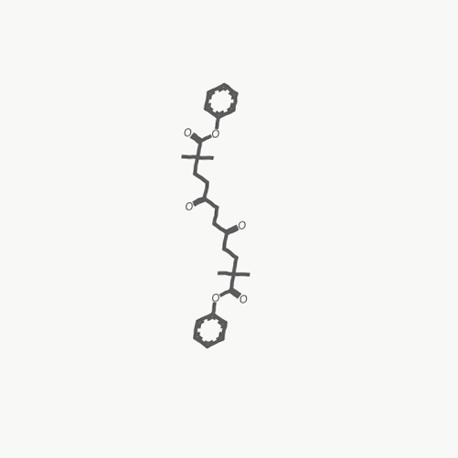 CC(C)(CCC(=O)CCC(=O)CCC(C)(C)C(=O)Oc1ccccc1)C(=O)Oc1ccccc1